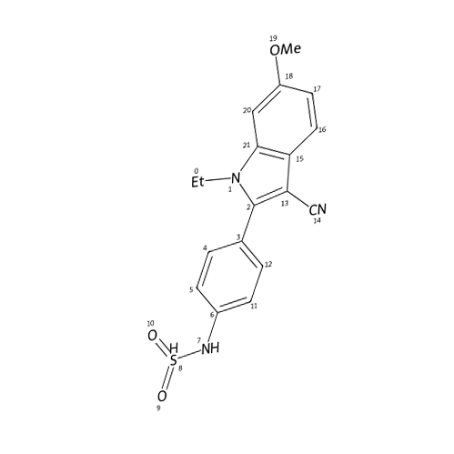 CCn1c(-c2ccc(N[SH](=O)=O)cc2)c(C#N)c2ccc(OC)cc21